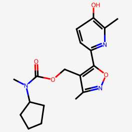 Cc1nc(-c2onc(C)c2COC(=O)N(C)C2CCCC2)ccc1O